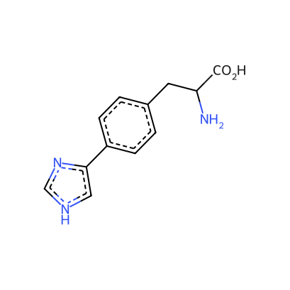 NC(Cc1ccc(-c2c[nH]cn2)cc1)C(=O)O